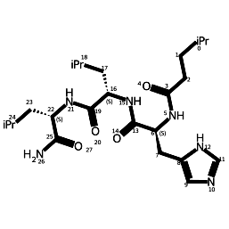 CC(C)CCC(=O)N[C@@H](Cc1cnc[nH]1)C(=O)N[C@@H](CC(C)C)C(=O)N[C@@H](CC(C)C)C(N)=O